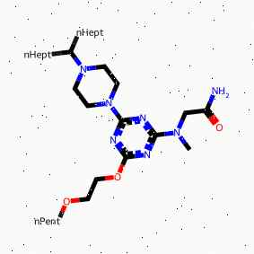 CCCCCCCC(CCCCCCC)N1CCN(c2nc(OCCOCCCCC)nc(N(C)CC(N)=O)n2)CC1